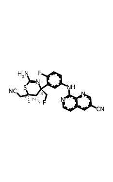 C[C@@H]1[C@@](C)(CC#N)SC(N)=N[C@]1(CF)c1cc(Nc2nccc3cc(C#N)cnc23)ccc1F